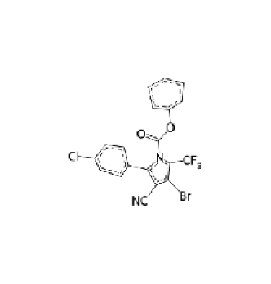 N#Cc1c(Br)c(C(F)(F)F)n(C(=O)Oc2ccccc2)c1-c1ccc(Cl)cc1